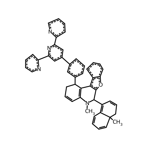 CN1C2=C(c3c(oc4ccccc34)C1C1=C3C=CC=CC3(C)CC=C1)C(c1cccc(-c3cc(-c4ccccn4)nc(-c4ccccn4)c3)c1)CC=C2